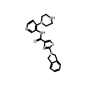 O=C(Nc1cnccc1N1CCNCC1)c1csc(N2Cc3ccccc3C2)n1